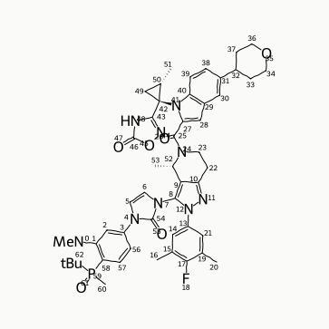 CNc1cc(-n2ccn(-c3c4c(nn3-c3cc(C)c(F)c(C)c3)CCN(C(=O)c3cc5cc(C6CCOCC6)ccc5n3[C@@]3(c5noc(=O)[nH]5)C[C@@H]3C)[C@H]4C)c2=O)ccc1P(C)(=O)C(C)(C)C